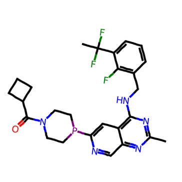 Cc1nc(NCc2cccc(C(C)(F)F)c2F)c2cc(P3CCN(C(=O)C4CCC4)CC3)ncc2n1